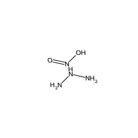 NNN.O=NO